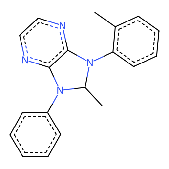 Cc1ccccc1N1c2nccnc2N(c2ccccc2)C1C